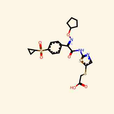 O=C(O)CSc1cnc(NC(=O)/C(=N/OC2CCCC2)c2ccc(S(=O)(=O)C3CC3)cc2)s1